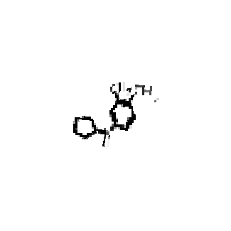 Cc1ccc(NC2CCCC2)cc1C